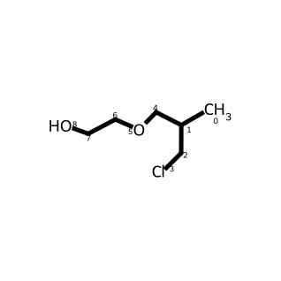 CC(CCl)COCCO